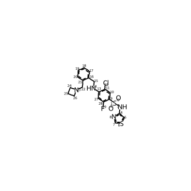 O=S(=O)(Nc1cscn1)c1cc(Cl)c(NCc2ccccc2CN2CCC2)cc1F